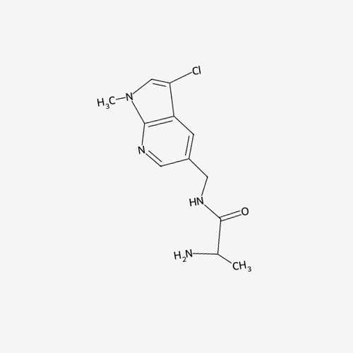 CC(N)C(=O)NCc1cnc2c(c1)c(Cl)cn2C